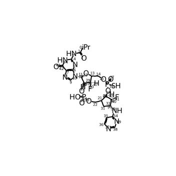 CC(C)C(=O)Nc1nc2c(ncn2[C@@H]2OC3COP(=O)(S)O[C@@H]4C(COP(=O)(O)O[C@@H]2[C@@H]3F)C[C@@H](Nc2ccncn2)[C@@H]4F)c(=O)[nH]1